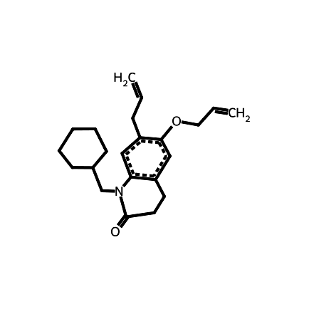 C=CCOc1cc2c(cc1CC=C)N(CC1CCCCC1)C(=O)CC2